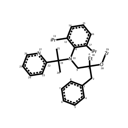 CCC(Cc1ccccc1)(CN(c1c(C(C)C)cccc1C(C)C)C(C)(C)c1ccccn1)[O][Zr]